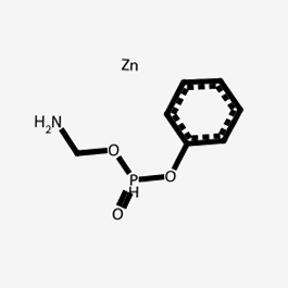 NCO[PH](=O)Oc1ccccc1.[Zn]